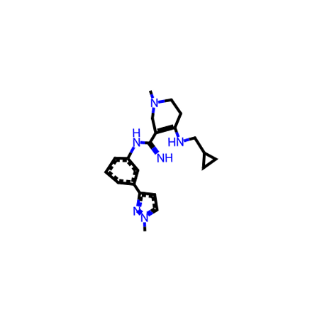 CN1CCC(NCC2CC2)=C(C(=N)Nc2cccc(-c3ccn(C)n3)c2)C1